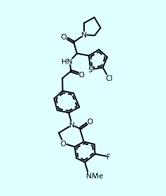 CNc1cc2c(cc1F)C(=O)N(c1ccc(CC(=O)NC(C(=O)N3CCCC3)c3ccc(Cl)s3)cc1)CO2